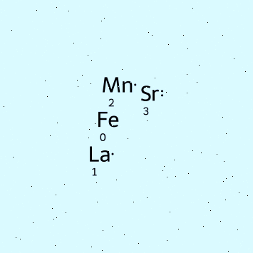 [Fe].[La].[Mn].[Sr]